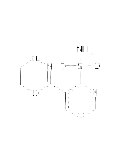 NS(=O)(=O)c1ncccc1C1=NOCCO1